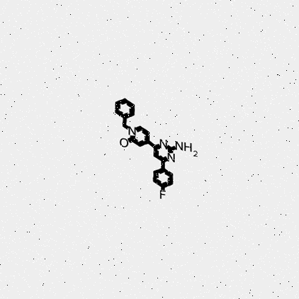 Nc1nc(-c2ccc(F)cc2)cc(-c2ccn(Cc3ccccc3)c(=O)c2)n1